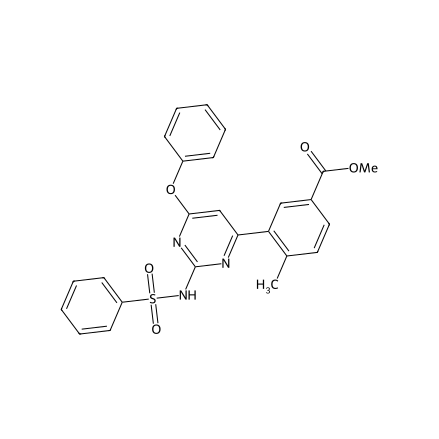 COC(=O)c1ccc(C)c(-c2cc(Oc3ccccc3)nc(NS(=O)(=O)c3ccccc3)n2)c1